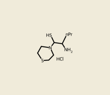 CCCC(N)C(S)N1CCSCC1.Cl